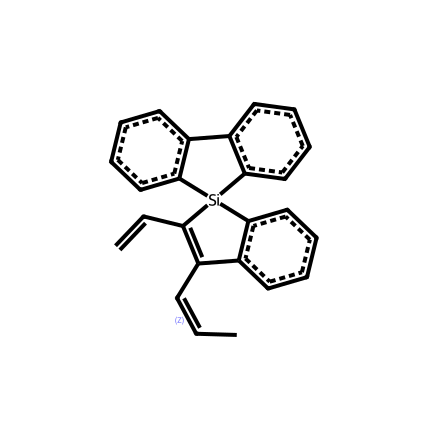 C=CC1=C(/C=C\C)c2ccccc2[Si]12c1ccccc1-c1ccccc12